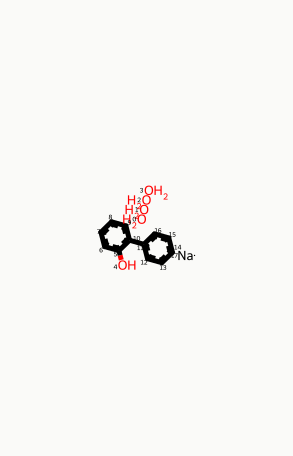 O.O.O.O.Oc1ccccc1-c1ccccc1.[Na]